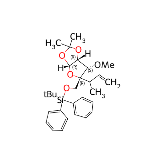 C=CC(C)[C@]1(CO[Si](c2ccccc2)(c2ccccc2)C(C)(C)C)O[C@@H]2OC(C)(C)O[C@@H]2[C@@H]1OC